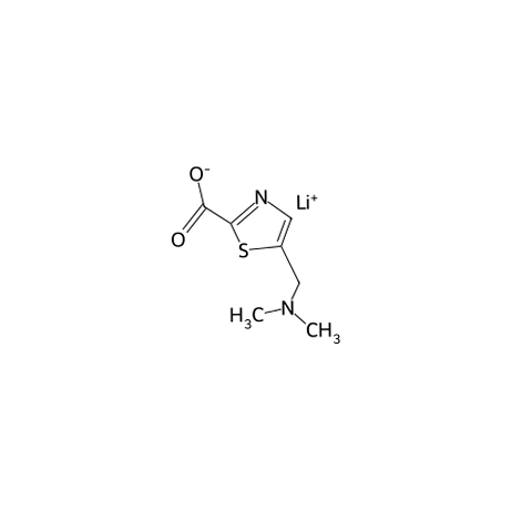 CN(C)Cc1cnc(C(=O)[O-])s1.[Li+]